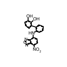 O=[N+]([O-])c1ccc(Nc2ccccc2-c2cccc(O)c2O)c2nonc12